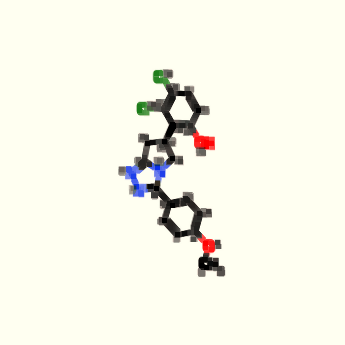 COc1ccc(-c2nnc3n2C[C@H](c2c(O)ccc(Cl)c2Cl)C3)cc1